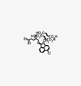 CCN(CC)CCC(C)CN=C1c2cccc3c(Cl)ccc(c23)N1C.O=C(O)C=CC(=O)O.O=C(O)C=CC(=O)O